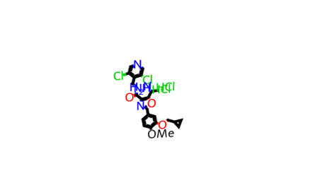 COc1ccc(-c2nc(C(=O)NCc3c(Cl)cncc3Cl)c(C(C)N)o2)cc1OCC1CC1.Cl.Cl